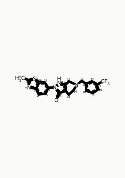 Cc1nc2ccc(-n3[nH]c4c(c3=O)CCN(Cc3cccc(C(F)(F)F)c3)C4)cc2s1